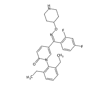 CCc1cccc(CC)c1-n1cc(/C(=N/OC2CCNCC2)c2ccc(F)cc2F)ccc1=O